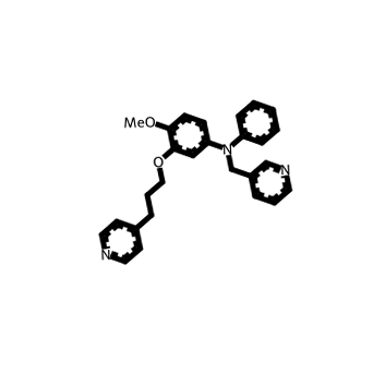 COc1ccc(N(Cc2cccnc2)c2ccccc2)cc1OCCCc1ccncc1